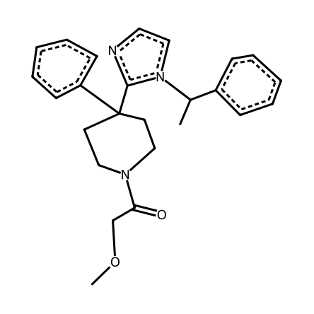 COCC(=O)N1CCC(c2ccccc2)(c2nccn2C(C)c2ccccc2)CC1